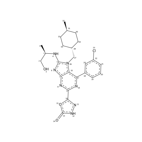 C[C@H](CO)Nc1nc2nc(-c3n[nH]c(=O)o3)nc(-c3cccc(Cl)c3)c2n1C[C@H]1CC[C@H](C)CC1